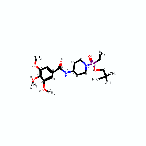 CCP(=O)(OCC(C)(C)C)N1CCC(NC(=O)c2cc(OC)c(OC)c(OC)c2)CC1